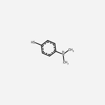 C[SiH](C)c1ccc(S)cc1